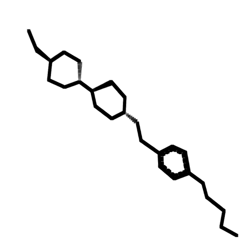 CCCCCc1ccc(CC[C@H]2CC[C@H]([C@H]3CC[C@H](CC)CC3)CC2)cc1